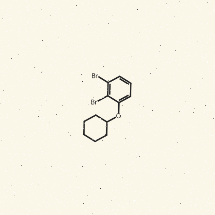 Brc1cccc(OC2CCCCC2)c1Br